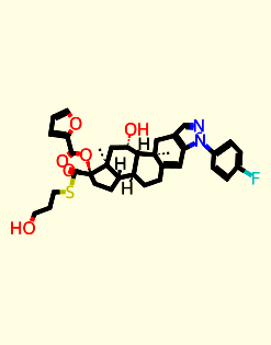 C[C@]12Cc3cnn(-c4ccc(F)cc4)c3C=C1CC[C@@H]1[C@@H]2[C@@H](O)C[C@@]2(C)[C@H]1CC[C@]2(OC(=O)c1ccco1)C(=O)SCCCO